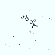 CCCCCC[C@H](C)Oc1ccc(-c2ccc(C(C)=O)cc2)cc1Cl